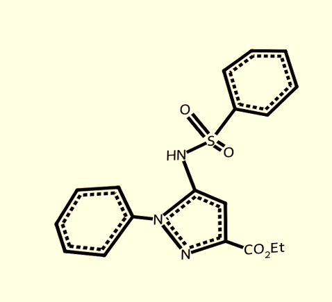 CCOC(=O)c1cc(NS(=O)(=O)c2ccccc2)n(-c2ccccc2)n1